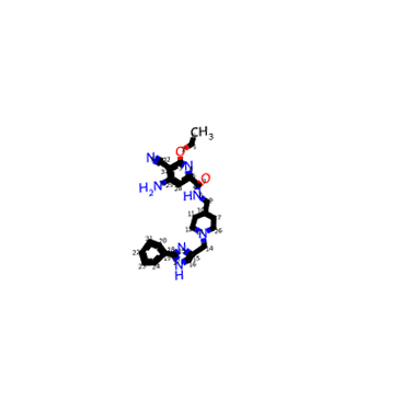 CCOc1nc(C(=O)NCC2CCN(Cc3c[nH]c(-c4ccccc4)n3)CC2)cc(N)c1C#N